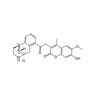 COc1cc2c(C)c(CC(=O)c3cccc4c3C[C@H]3NCC[C@@]45CCCC[C@@H]35)c(=O)oc2cc1O